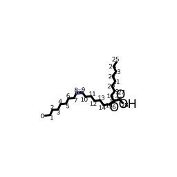 CCCCCCCC/C=C\CCCCCC1OC1(CCCCCCCC)C(=O)O